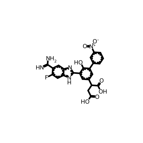 N=C(N)c1cc2nc(-c3cc(C(CC(=O)O)C(=O)O)cc(-c4cccc([N+](=O)[O-])c4)c3O)[nH]c2cc1F